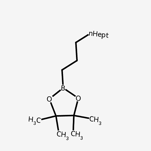 CCCCCCCCCCB1OC(C)(C)C(C)(C)O1